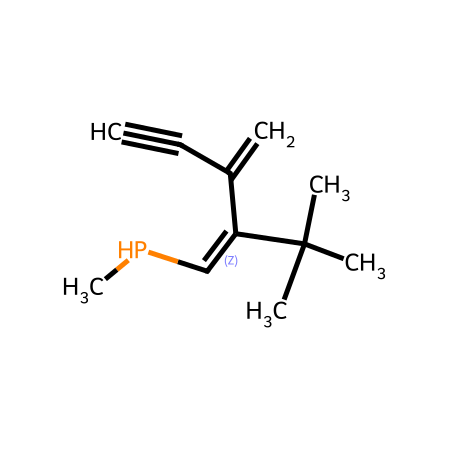 C#CC(=C)/C(=C\PC)C(C)(C)C